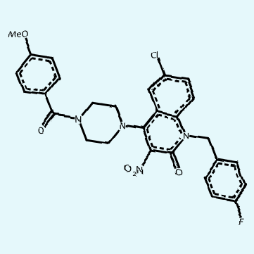 COc1ccc(C(=O)N2CCN(c3c([N+](=O)[O-])c(=O)n(Cc4ccc(F)cc4)c4ccc(Cl)cc34)CC2)cc1